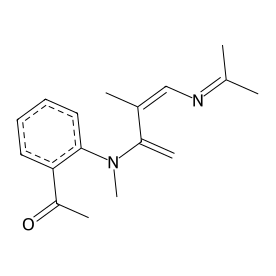 C=C(/C(C)=C\N=C(C)C)N(C)c1ccccc1C(C)=O